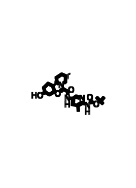 Cc1cc(NC(=O)C(=O)N2C[C@@H](C)CC[C@@H]2C2CCC(O)CC2)cnc1NC(=O)OC(C)(C)C